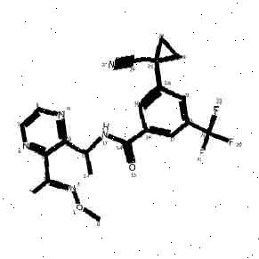 CON=C(C)c1nccnc1C(C)NC(=O)c1cc(C(F)(F)F)cc(C2(C#N)CC2)c1